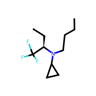 CCCCN(C1CC1)[C@H](CC)C(F)(F)F